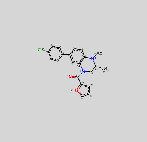 CC(=O)N1c2ccc(-c3ccc(Cl)cc3)cc2N(C(=O)c2ccco2)C[C@@H]1C